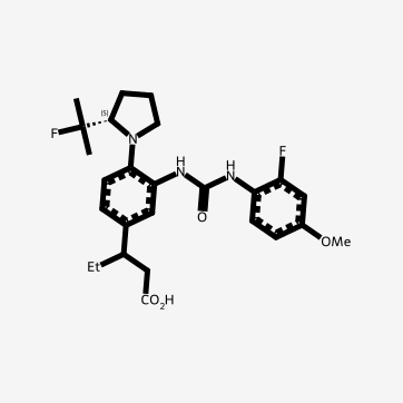 CCC(CC(=O)O)c1ccc(N2CCC[C@H]2C(C)(C)F)c(NC(=O)Nc2ccc(OC)cc2F)c1